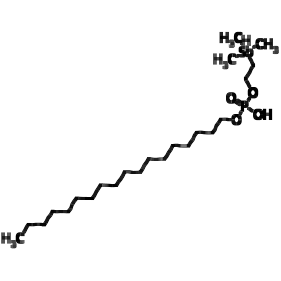 CCCCCCCCCCCCCCCCCCOP(=O)(O)OC[CH2][SbH]([CH3])([CH3])[CH3]